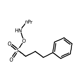 CCCNOS(=O)(=O)CCCc1ccccc1